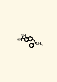 CN(Cc1ccc2cc(C(=N)N)ccc2c1)c1ccccc1